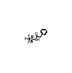 O=C(Cc1ccccc1)NS(=O)(=O)C(F)(F)F